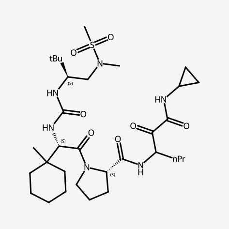 CCCC(NC(=O)[C@@H]1CCCN1C(=O)[C@@H](NC(=O)N[C@H](CN(C)S(C)(=O)=O)C(C)(C)C)C1(C)CCCCC1)C(=O)C(=O)NC1CC1